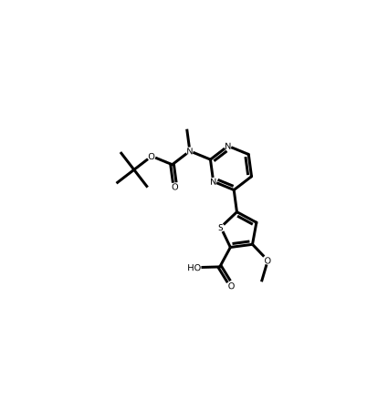 COc1cc(-c2ccnc(N(C)C(=O)OC(C)(C)C)n2)sc1C(=O)O